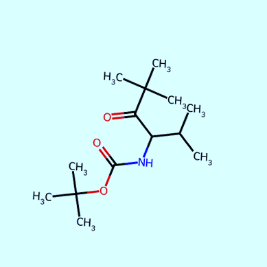 CC(C)C(NC(=O)OC(C)(C)C)C(=O)C(C)(C)C